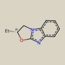 CC[C@@H]1Cn2c(nc3ccccc32)O1